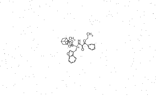 CCO[C@@H](C(=O)N[C@@H](Cc1coc2ccccc12)B1OC2CC3CC(C3C)[C@]2(C)O1)c1ccccc1